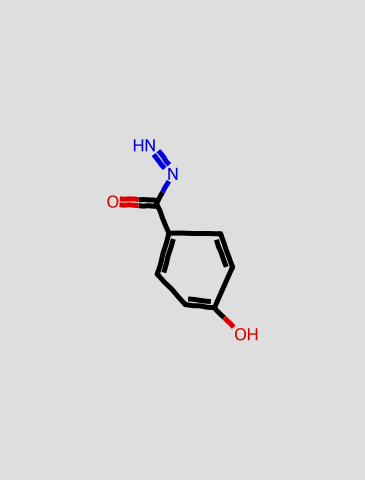 N=NC(=O)c1ccc(O)cc1